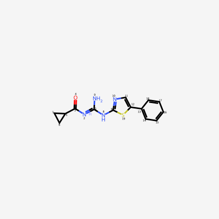 N/C(=N\C(=O)C1CC1)Nc1ncc(-c2ccccc2)s1